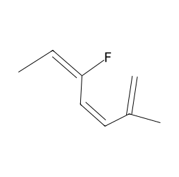 C=C(C)/C=C\C(F)=C/C